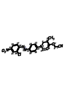 CCN(CC(C)C(=O)OCC#N)c1ccc(/N=N/c2ccc([N+](=O)[O-])cc2Cl)cc1